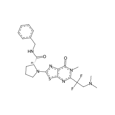 CN(C)CC(F)(F)c1nc2sc(N3CCC[C@@H]3C(=O)NCc3ccccc3)nc2c(=O)n1C